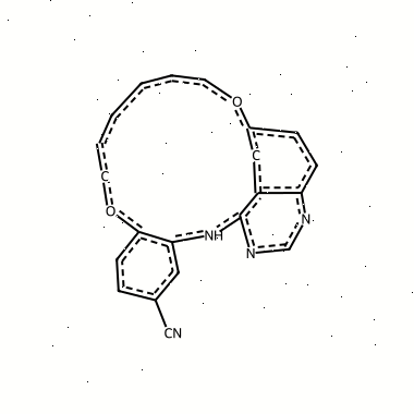 N#Cc1ccc2occccccoc3ccc4ncnc([nH]c2c1)c4c3